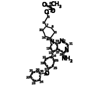 CS(=O)(=O)OCCC1CCC(n2cc(-c3ccc(Oc4ccccc4)cc3)c3c(N)ncnc32)CC1